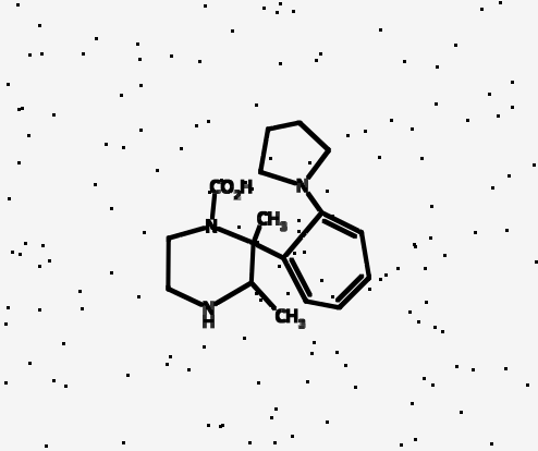 CC1NCCN(C(=O)O)C1(C)c1ccccc1N1CCCC1